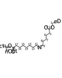 CCCCCCCCCCCOC(=O)CCCC/C=N\CCCCCCCC(=O)OC(CCCCCCCC)CCCCCCCC